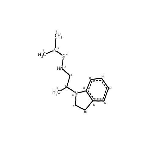 CC(CNSN(C)C)N1CCc2ccccc21